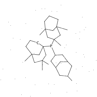 CC1CC2CC(C1)CC(P(C1(C)CC3(C)CCCC(C)(C3)C1)C13CCCC(C)(CC(C)(C)C1)C3)C2